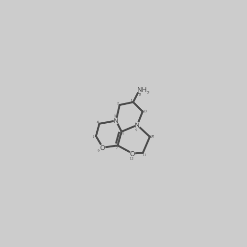 NC1CN2CCOC3=C2N(CCO3)C1